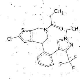 CCC(=O)N1Cc2sc(Cl)cc2C(c2ccccc2-c2cn(CC)nc2C(F)(F)F)C1